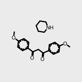 C1CCNCC1.COc1ccc(C(=O)CC(=O)c2ccc(OC)cc2)cc1